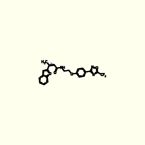 C/C(=C/C(=O)NCCOc1ccc(-c2noc(C(F)(F)F)n2)cc1)c1cc2ccccc2o1